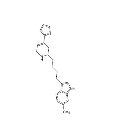 COc1ccc2c(CCCCC3CC(c4cccs4)=CCN3)c[nH]c2c1